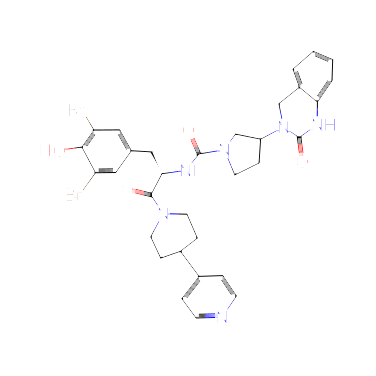 O=C(N[C@H](Cc1cc(Br)c(O)c(Br)c1)C(=O)N1CCC(c2ccncc2)CC1)N1CCC(N2Cc3ccccc3NC2=O)C1